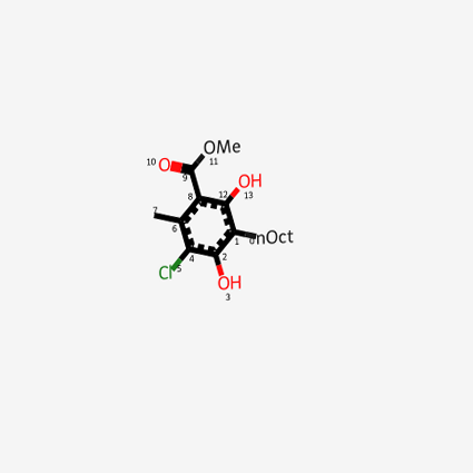 [CH2]CCCCCCCc1c(O)c(Cl)c(C)c(C(=O)OC)c1O